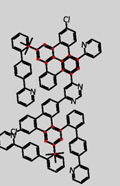 CC(C)(C)c1ccc(-c2cc(-c3cc(-c4ccc(-c5ccc(Cl)cc5-c5cc(-c6ccccc6-c6ccc(-c7ccccn7)cc6)cc(-c6ccccc6-c6ccc(-c7ccccn7)cc6)c5)c(-c5ccc(C(C)(C)C)cc5)c4)ncn3)ccc2-c2ccc(Cl)cc2-c2cc(-c3ccccc3-c3ccc(-c4ccccn4)cc3)cc(-c3ccccc3-c3ccc(-c4ccccn4)cc3)c2)cc1